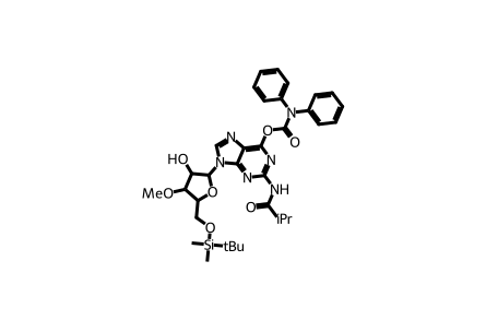 COC1C(CO[Si](C)(C)C(C)(C)C)OC(n2cnc3c(OC(=O)N(c4ccccc4)c4ccccc4)nc(NC(=O)C(C)C)nc32)C1O